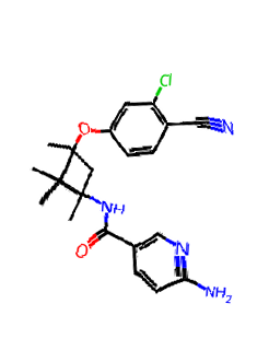 CC1(NC(=O)c2ccc(N)nc2)CC(C)(Oc2ccc(C#N)c(Cl)c2)C1(C)C